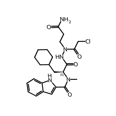 CN(C(=O)c1cc2ccccc2[nH]1)[C@@H](CC1CCCCC1)C(=O)NN(CCC(N)=O)C(=O)CCl